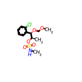 CNS(=O)(=O)O[C@H](C)[C@H](OCOC)c1ccccc1Cl